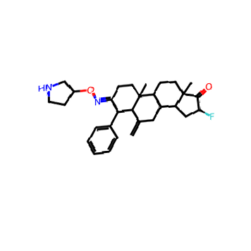 C=C1CC2C3CC(F)C(=O)C3(C)CCC2C2(C)CCC(=NOC3CCNC3)C(c3ccccc3)C12